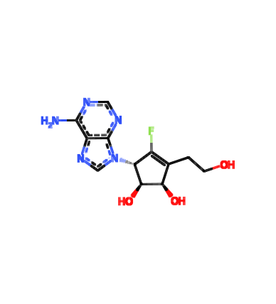 Nc1ncnc2c1ncn2[C@@H]1C(F)=C(CCO)[C@@H](O)[C@H]1O